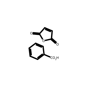 O=C(O)c1ccccc1.O=C1C=CC(=O)O1